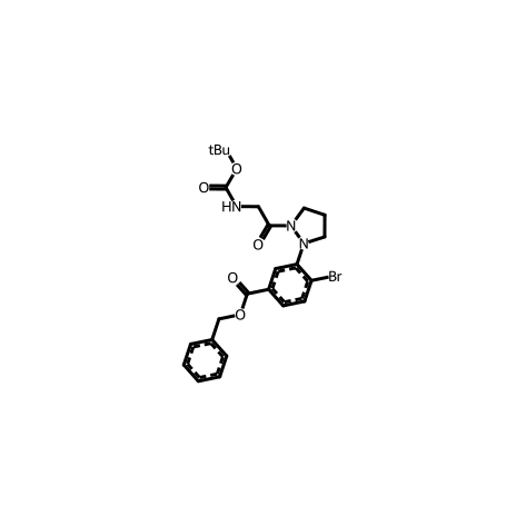 CC(C)(C)OC(=O)NCC(=O)N1CCCN1c1cc(C(=O)OCc2ccccc2)ccc1Br